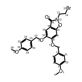 COc1ccc(COc2cc3on(CCBr)c(=O)c3cc2OCc2ccc(OC)cc2)cc1